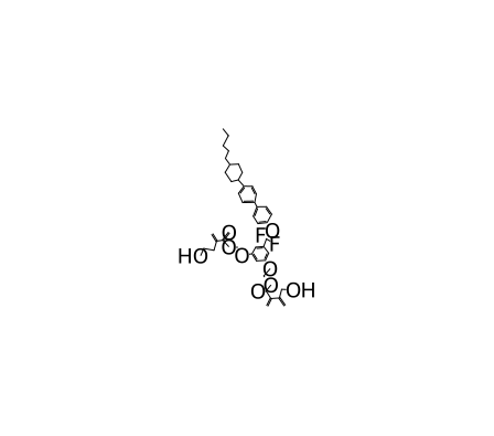 C=C(CO)C(=C)C(=O)OCOc1cc(OCOC(=O)C(=C)CCO)cc(C(F)(F)Oc2ccc(-c3ccc(C4CCC(CCCCC)CC4)cc3)cc2)c1